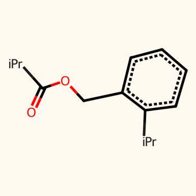 CC(C)C(=O)OCc1ccccc1C(C)C